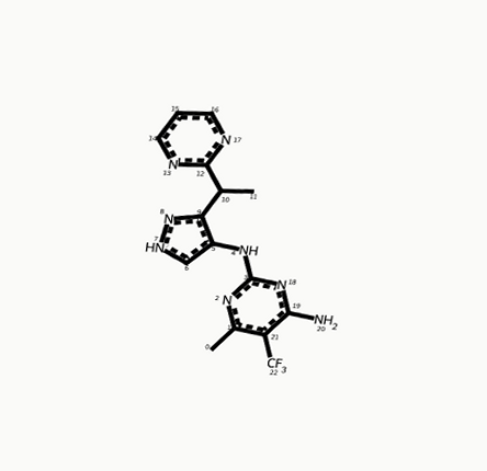 Cc1nc(Nc2c[nH]nc2C(C)c2ncccn2)nc(N)c1C(F)(F)F